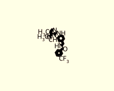 Cc1cnc(NC2CCC(CNC(=O)c3cccc(C(F)(F)F)c3)CC2)nc1N(C)C